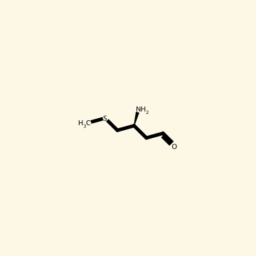 CSC[C@@H](N)C[C]=O